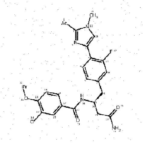 CC(=O)c1nc(-c2ccc(C[C@@H](CC(N)=O)NC(=O)c3ccc(OC(C)C)c(Cl)c3)cc2F)cn1C